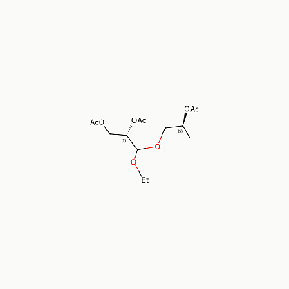 CCOC(OC[C@H](C)OC(C)=O)[C@H](COC(C)=O)OC(C)=O